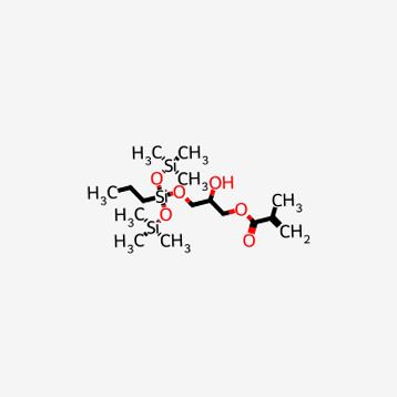 C=C(C)C(=O)OCC(O)CO[Si](CCC)(O[Si](C)(C)C)O[Si](C)(C)C